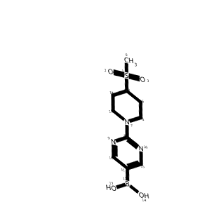 CS(=O)(=O)C1CCN(c2ncc(B(O)O)cn2)CC1